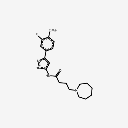 COc1ccc(-c2cc(NC(=O)CCCN3CCCCCC3)[nH]n2)cc1F